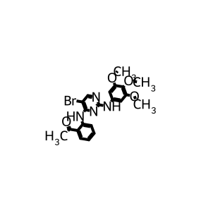 COc1cc(Nc2ncc(Br)c(Nc3ccccc3C(C)=O)n2)cc(OC)c1OC